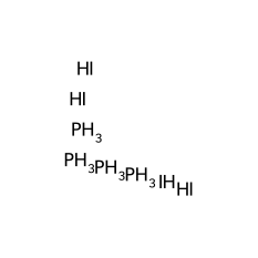 I.I.I.I.P.P.P.P